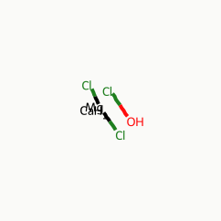 OCl.[CaH2].[Cl][Mg][Cl]